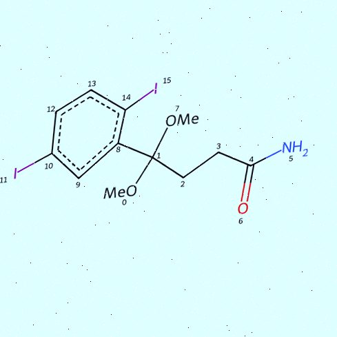 COC(CCC(N)=O)(OC)c1cc(I)ccc1I